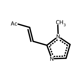 CC(=O)C=Cc1nccn1C